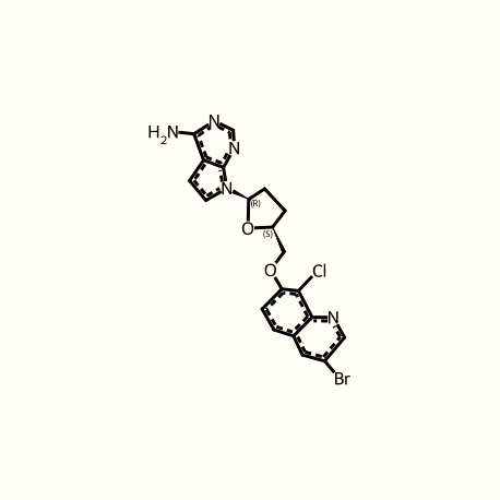 Nc1ncnc2c1ccn2[C@H]1CC[C@@H](COc2ccc3cc(Br)cnc3c2Cl)O1